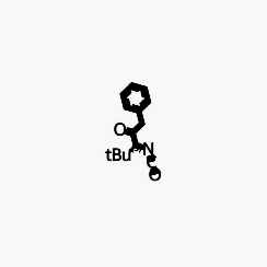 CC(C)(C)[C@H](N=C=O)C(=O)Cc1ccccc1